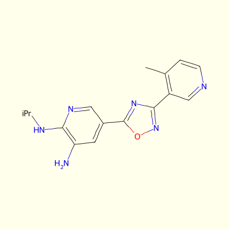 Cc1ccncc1-c1noc(-c2cnc(NC(C)C)c(N)c2)n1